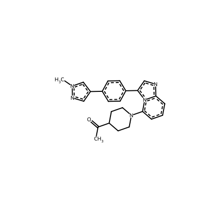 CC(=O)C1CCN(c2cccc3ncc(-c4ccc(-c5cnn(C)c5)cc4)n23)CC1